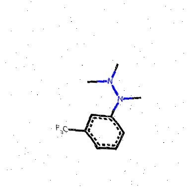 CN(C)N(C)c1cccc(C(F)(F)F)c1